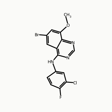 COc1cc(Br)cc2c(Nc3ccc(F)c(Cl)c3)ncnc12